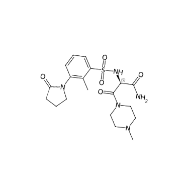 Cc1c(N2CCCC2=O)cccc1S(=O)(=O)N[C@@H](C(N)=O)C(=O)N1CCN(C)CC1